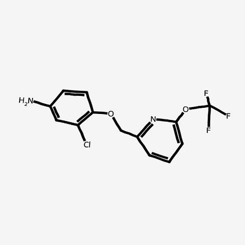 Nc1ccc(OCc2cccc(OC(F)(F)F)n2)c(Cl)c1